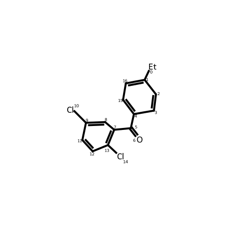 CCc1ccc(C(=O)c2cc(Cl)ccc2Cl)cc1